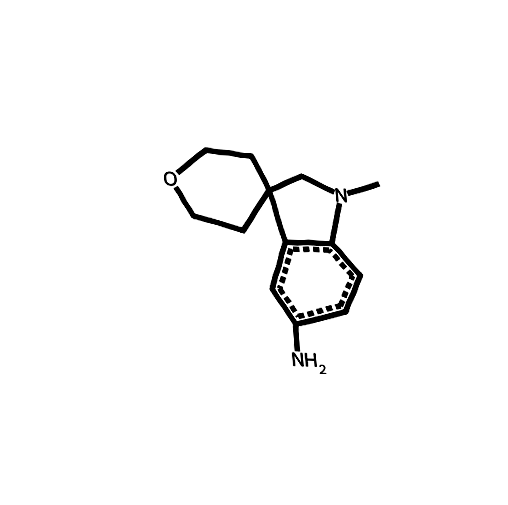 CN1CC2(CCOCC2)c2cc(N)ccc21